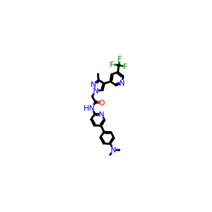 Cc1nn(CC(=O)Nc2ccc(-c3ccc(N(C)C)cc3)cn2)cc1-c1cncc(C(F)(F)F)c1